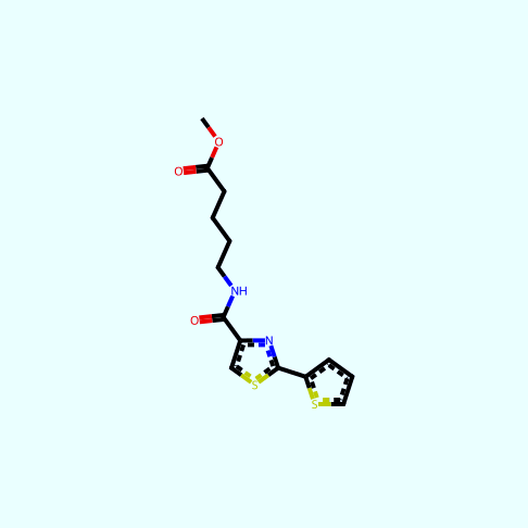 COC(=O)CCCCNC(=O)c1csc(-c2cccs2)n1